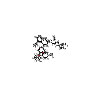 BC1(B)CC(C#N)(COc2cc(-c3ccc(N4CC5CC(C4)N5Cc4ccc(OC)nc4)nc3)c3c(C#N)cnn3c2)C1